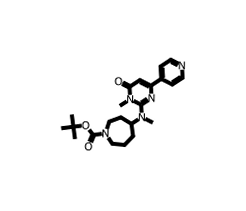 CN(c1nc(-c2ccncc2)cc(=O)n1C)C1CCCN(C(=O)OC(C)(C)C)CC1